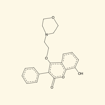 O=c1oc2c(O)cccc2c(OCCN2CCOCC2)c1-c1ccccc1